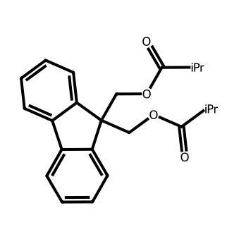 CC(C)C(=O)OCC1(COC(=O)C(C)C)c2ccccc2-c2ccccc21